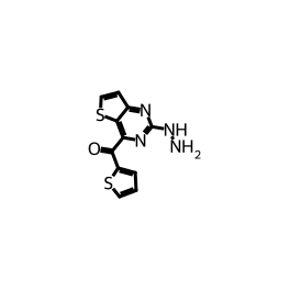 NNc1nc(C(=O)c2cccs2)c2sccc2n1